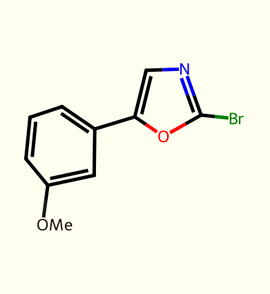 COc1cccc(-c2cnc(Br)o2)c1